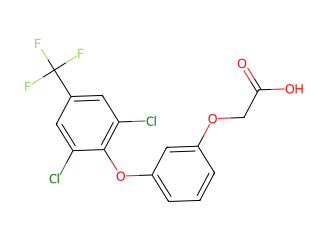 O=C(O)COc1cccc(Oc2c(Cl)cc(C(F)(F)F)cc2Cl)c1